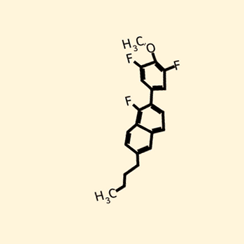 CCCCc1ccc2c(F)c(-c3cc(F)c(OC)c(F)c3)ccc2c1